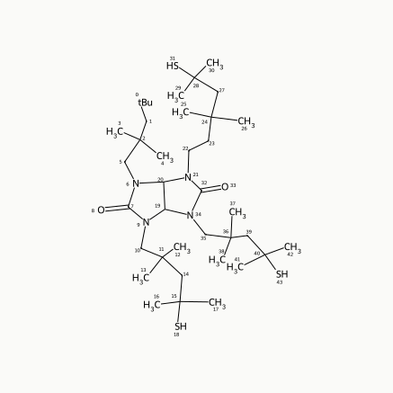 CC(C)(C)CC(C)(C)CN1C(=O)N(CC(C)(C)CC(C)(C)S)C2C1N(CCC(C)(C)CC(C)(C)S)C(=O)N2CC(C)(C)CC(C)(C)S